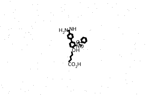 N=C(N)c1ccc(-c2ccc(OCCCCCC(=O)O)c(NS(=O)(=O)c3ccccc3)c2)cc1